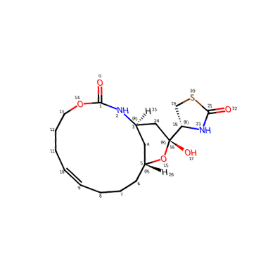 O=C1N[C@@H]2C[C@@H](CCCC=CCCCO1)O[C@@](O)([C@@H]1CSC(=O)N1)C2